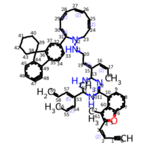 C#C/C=C\c1oc2cccc(/C(=N/C(N)C(/C=C\C)=C/CNN3C\C=C/C=C\C=C/C=C\3c3ccc4c(c3)C3(CCCCC3)c3ccc#cc3-4)NC(C)C(/C=C\C)=C/C=C)c2c1C